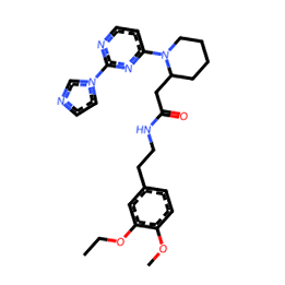 CCOc1cc(CCNC(=O)CC2CCCCN2c2ccnc(-n3ccnc3)n2)ccc1OC